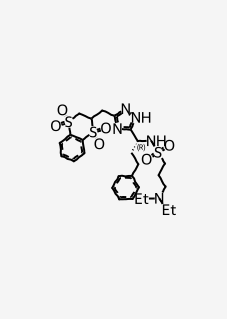 CCN(CC)CCCS(=O)(=O)N[C@H](CCc1ccccc1)c1nc(CC2CS(=O)(=O)c3ccccc3S2(=O)=O)n[nH]1